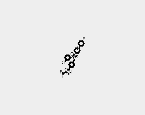 O=S(=O)(C1CCN([C@H]2CC[C@H](F)CC2)CC1)N(Cc1ccc(-c2nnc(C(F)F)o2)cc1)c1cccc(Cl)c1